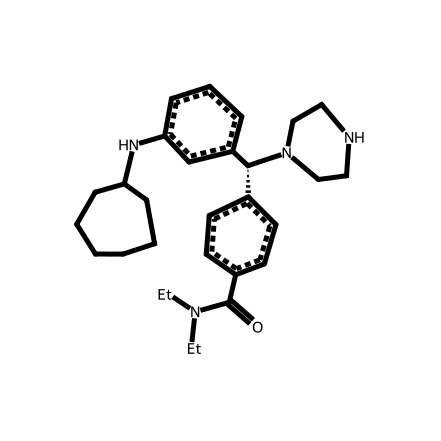 CCN(CC)C(=O)c1ccc([C@H](c2cccc(NC3CCCCCC3)c2)N2CCNCC2)cc1